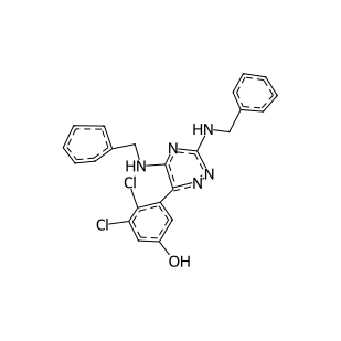 Oc1cc(Cl)c(Cl)c(-c2nnc(NCc3ccccc3)nc2NCc2ccccc2)c1